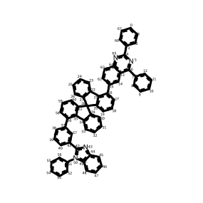 c1ccc(-c2nc(-c3ccccc3)c3cc(-c4cccc5c4-c4ccccc4C54c5ccccc5-c5c(-c6cccc(-c7nc8ccccc8n7-c7ccccc7)c6)cccc54)ccc3n2)cc1